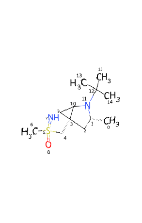 C[C@@H]1C[C@@]2(CS(C)(=N)=O)CC2N1C(C)(C)C